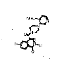 CCn1nc(C(=O)N2CCN(c3cnccc3OC)CC2)c2cc(F)ccc2c1=O